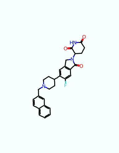 O=C1CCC(N2Cc3cc(C4CCN(Cc5ccc6ccccc6c5)CC4)c(F)cc3C2=O)C(=O)N1